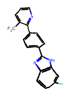 Fc1ccc2nc(-c3ccc(-c4ncccc4C(F)(F)F)cc3)[nH]c2c1